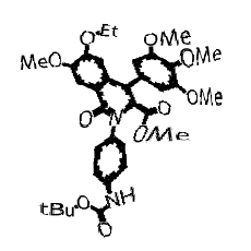 CCOc1cc2c(-c3cc(OC)c(OC)c(OC)c3)c(C(=O)OC)n(-c3ccc(NC(=O)OC(C)(C)C)cc3)c(=O)c2cc1OC